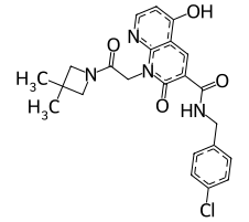 CC1(C)CN(C(=O)Cn2c(=O)c(C(=O)NCc3ccc(Cl)cc3)cc3c(O)ccnc32)C1